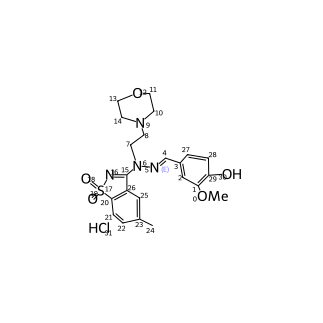 COc1cc(/C=N/N(CCN2CCOCC2)C2=NS(=O)(=O)c3ccc(C)cc32)ccc1O.Cl